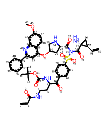 C=CC(=O)NCCC(NC(=O)OC(C)(C)C)C(=O)c1ccc(S(=O)(=O)N(C(=O)[C@@H]2C[C@@H](Oc3cc(-c4ccccc4)nc4cc(OC)ccc34)CN2)C(=O)[C@@]2(N)C[C@H]2C=C)cc1